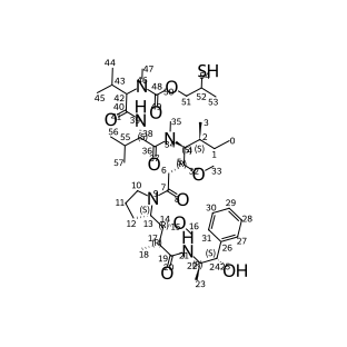 CC[C@H](C)[C@@H]([C@@H](CC(=O)N1CCC[C@H]1[C@H](OC)[C@@H](C)C(=O)N[C@H](C)[C@@H](O)c1ccccc1)OC)N(C)C(=O)[C@@H](NC(=O)C(C(C)C)N(C)C(=O)OCC(C)S)C(C)C